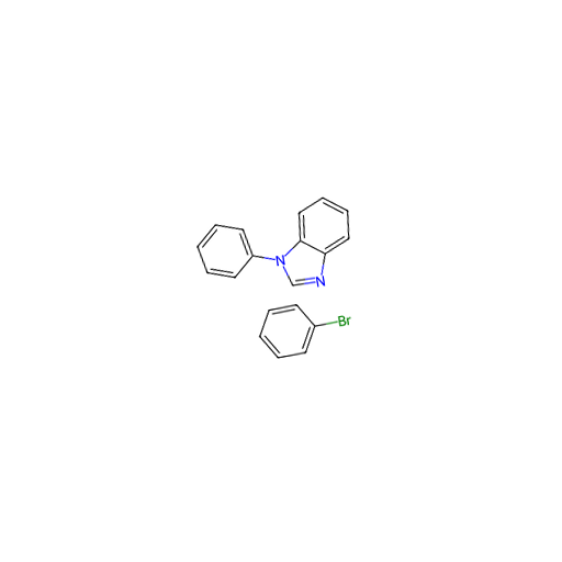 Brc1ccccc1.c1ccc(-n2cnc3ccccc32)cc1